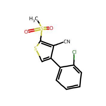 CS(=O)(=O)c1scc(-c2ccccc2Cl)c1C#N